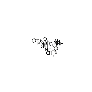 CCN(CC)CCS(=O)(=O)NC(COCc1ccccc1)C(=O)NCc1ccc(-c2ccccc2-c2nnn[nH]2)cc1